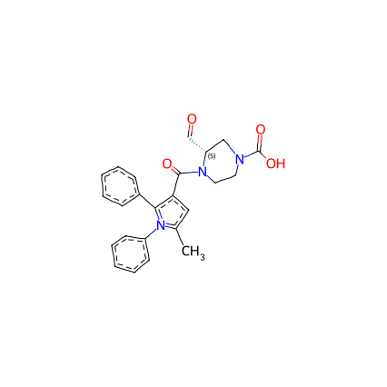 Cc1cc(C(=O)N2CCN(C(=O)O)C[C@H]2C=O)c(-c2ccccc2)n1-c1ccccc1